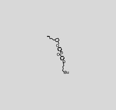 C=CCCCC1CCCC(COc2ccc(OC(=O)c3ccc(OCCCCCC(C)CC)cc3)cc2)C1